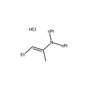 CC/C=C(\C)N(CCC)CCC.Cl